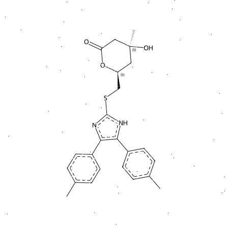 Cc1ccc(-c2nc(SC[C@@H]3C[C@](C)(O)CC(=O)O3)[nH]c2-c2ccc(C)cc2)cc1